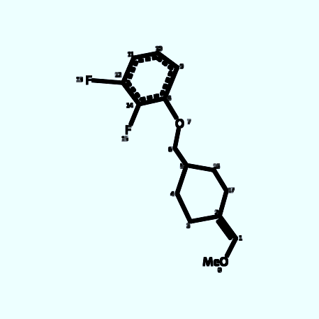 COC=C1CCC(COc2cccc(F)c2F)CC1